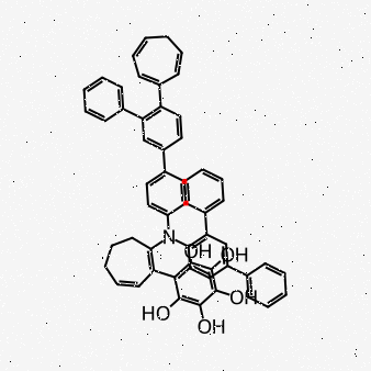 Oc1c(O)c(O)c(C2=C(N(c3ccc(-c4ccc(C5=CC=CCC=C5)c(-c5ccccc5)c4)cc3)c3ccc(-c4ccccc4)cc3-c3ccccc3)CCCC=C2)c(O)c1O